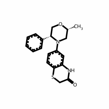 C[C@@H]1CN(c2ccc3c(c2)NC(=O)CS3)[C@H](c2ccccc2)CO1